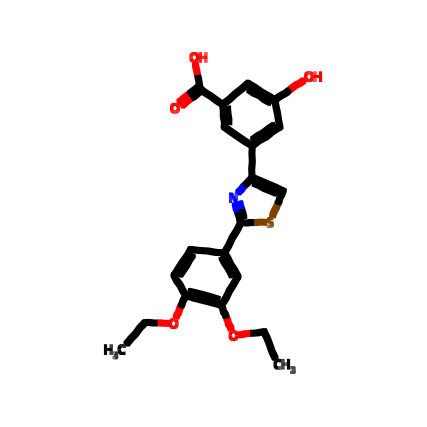 CCOc1ccc(-c2nc(-c3cc(O)cc(C(=O)O)c3)cs2)cc1OCC